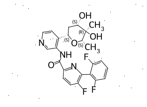 C[C@@H]1O[C@H](c2ccncc2NC(=O)c2ccc(F)c(-c3c(F)cccc3F)n2)C[C@H](O)[C@@]1(C)O